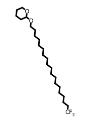 FC(F)(F)CCCCCCCCCCCCCCCCCCOC1CCCCO1